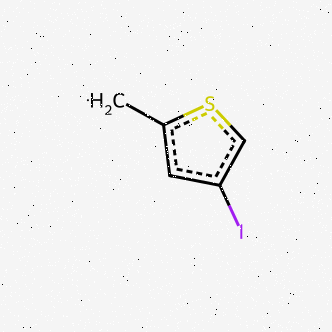 [CH2]c1cc(I)cs1